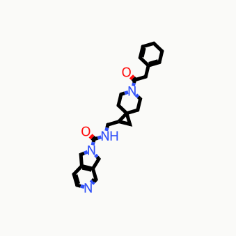 O=C(CC1=CCCC=C1)N1CCC2(CC1)CC2CNC(=O)N1Cc2ccncc2C1